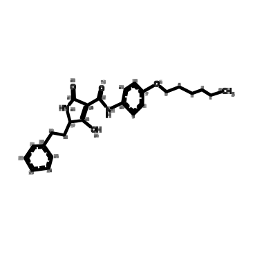 CCCCCCOc1ccc(NC(=O)C2=C(O)C(CCc3ccccc3)NC2=O)cc1